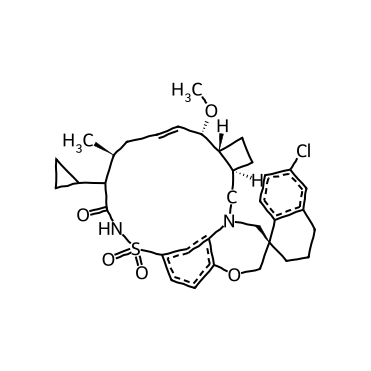 CO[C@H]1/C=C/C[C@H](C)C(C2CC2)C(=O)NS(=O)(=O)c2ccc3c(c2)N(C[C@@H]2CC[C@H]21)C[C@@]1(CCCc2cc(Cl)ccc21)CO3